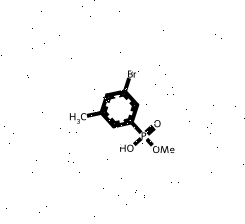 COP(=O)(O)c1cc(C)cc(Br)c1